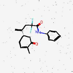 C=C(CC(F)(F)C(=O)Nc1ccccc1)[C@H]1CC=C(C)C(=O)C1